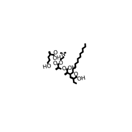 C=C(C(=O)O)C(C=C(CC)C(=O)O)CCCCCCCCCCCC.C=C(C)C(=O)OCCN(C)C.C=C(CCCO)C(=O)O